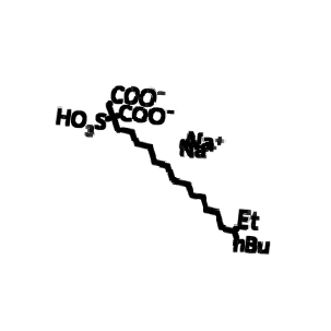 CCCCC(CC)CCCCCCCCCCCCCC(CC(=O)[O-])(C(=O)[O-])S(=O)(=O)O.[Na+].[Na+]